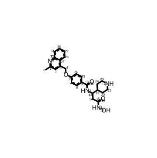 Cc1cc(COc2ccc(C(=O)NC(CC(=O)NO)C3CCNCC3)cc2)c2ccccc2n1